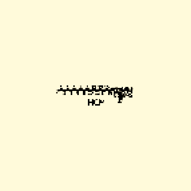 CCCCCCCCCCCCCCCCC=COCC(CN(C)C)OC(C)=O.Cl